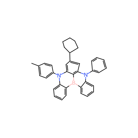 Cc1ccc(N2c3ccccc3B3c4ccccc4N(c4ccccc4)c4cc(C5CCCCC5)cc2c43)cc1